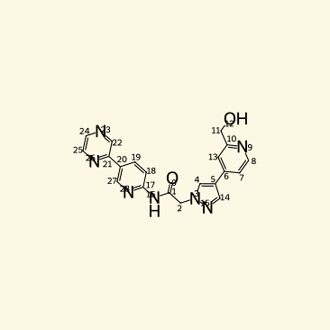 O=C(Cn1cc(-c2ccnc(CO)c2)cn1)Nc1ccc(-c2cnccn2)cn1